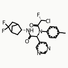 Cc1ccc(N(C(=O)[C@H](F)Cl)[C@H](C(=O)N[C@@H]2CC3CC2CC3(F)F)c2cncnc2)cc1